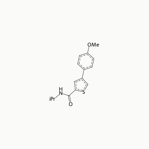 COc1ccc(-c2csc(C(=O)NC(C)C)c2)cc1